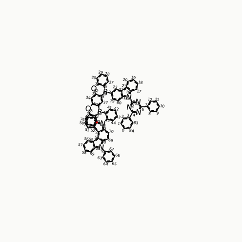 c1ccc(-c2nc(-c3ccccc3)nc(-n3c4ccccc4c4cc(B5c6ccccc6Oc6cc7c(cc65)B(c5ccccc5-n5c6ccccc6c6c8c9ccccc9n(-c9ccccc9)c8ccc65)c5ccccc5O7)ccc43)n2)cc1